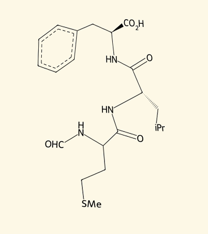 CSCCC(NC=O)C(=O)N[C@@H](CC(C)C)C(=O)N[C@@H](Cc1ccccc1)C(=O)O